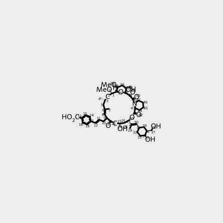 CO[C@H]1C[C@@H](C)C/C(C)=C/C(C/C=C/c2ccc(C(=O)O)cc2)C(=O)C[C@H](O)[C@@H](C)[C@@H](/C(C)=C/[C@@H]2CC[C@@H](O)[C@H](CO)C2)OC(=O)C2CCCCN2C(=O)C(=O)[C@]2(O)O[C@H]1[C@@H](OC)C[C@H]2C